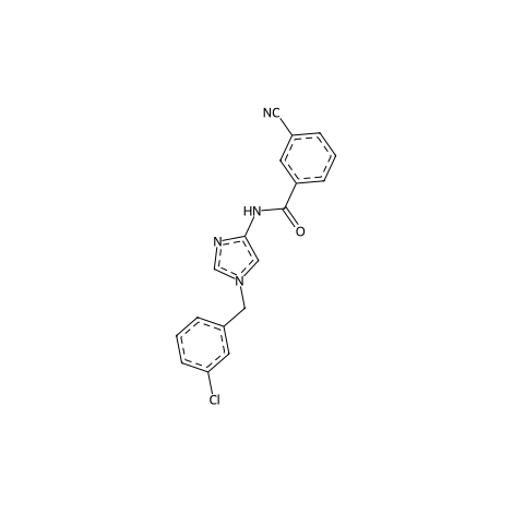 N#Cc1cccc(C(=O)Nc2cn(Cc3cccc(Cl)c3)cn2)c1